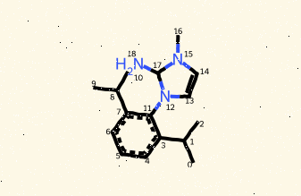 CC(C)c1cccc(C(C)C)c1N1C=CN(C)C1N